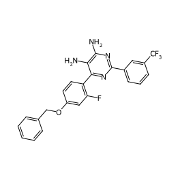 Nc1nc(-c2cccc(C(F)(F)F)c2)nc(-c2ccc(OCc3ccccc3)cc2F)c1N